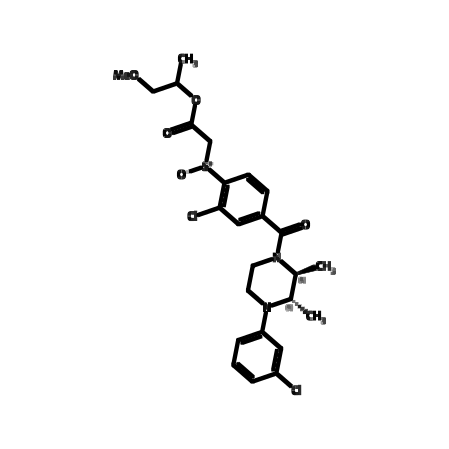 COCC(C)OC(=O)C[S+]([O-])c1ccc(C(=O)N2CCN(c3cccc(Cl)c3)[C@@H](C)[C@@H]2C)cc1Cl